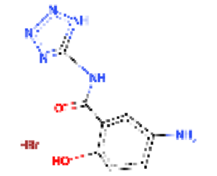 Br.Nc1ccc(O)c(C(=O)Nc2nnn[nH]2)c1